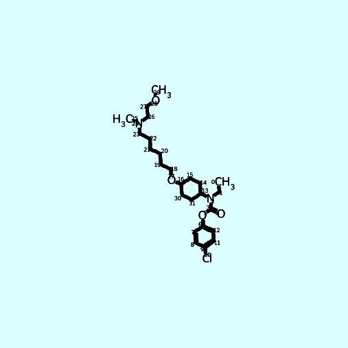 CCN(C(=O)Oc1ccc(Cl)cc1)C1CCC(OCCCCCCN(C)CCOC)CC1